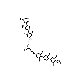 CCC(CCCOc1cc(F)c(-c2ccc(-c3cc(F)c(C)c(F)c3)c(F)c2)c(F)c1)CCCOc1cc(F)c(-c2ccc(-c3cc(F)c(C(F)(F)F)c(F)c3)c(F)c2)c(F)c1